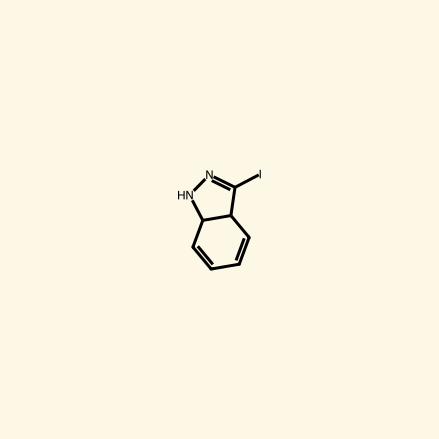 IC1=NNC2C=CC=CC12